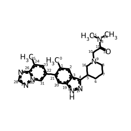 Cc1cc2c(C3CCCN(CC(=O)N(C)C)C3)n[nH]c2cc1-c1cc(C)c2ncnn2c1